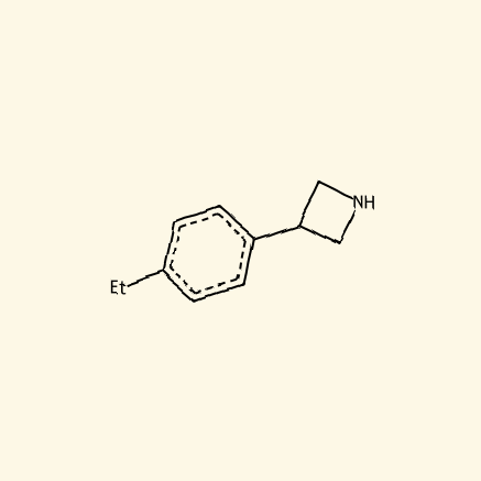 CCc1ccc(C2CNC2)cc1